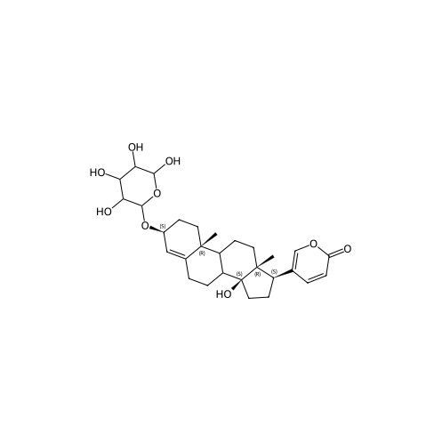 C[C@]12CC[C@H](OC3OC(O)C(O)C(O)C3O)C=C1CCC1C2CC[C@]2(C)[C@@H](c3ccc(=O)oc3)CC[C@]12O